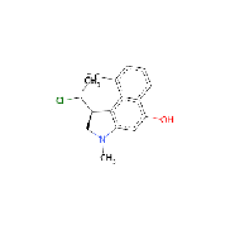 C[C@@H](Cl)[C@@H]1CN(C)c2cc(O)c3cccc(C(F)(F)F)c3c21